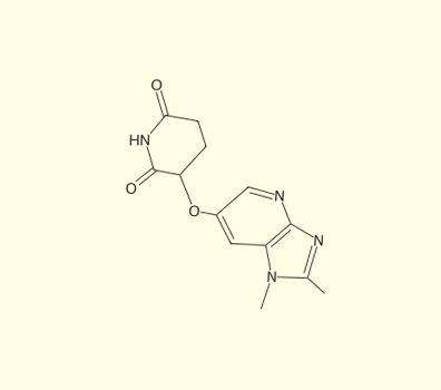 Cc1nc2ncc(OC3CCC(=O)NC3=O)cc2n1C